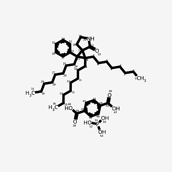 CCCCCCCCC1(CCCCCCCC)C2(CCNC2=O)C1(CCCCCCCC)c1ccccc1.O=C(O)c1ccc(C(=O)O)cc1.OP(O)O